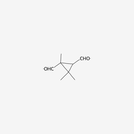 CC1(C)C([C]=O)C1(C)[C]=O